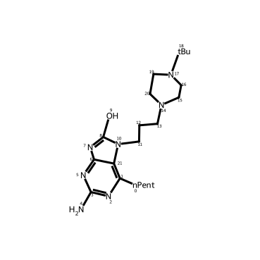 CCCCCc1nc(N)nc2nc(O)n(CCCN3CCN(C(C)(C)C)CC3)c12